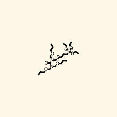 CCCOCN(COCCC)C(=O)N(COCCC)CSCCC[Si](OCC)(OCC)OCC